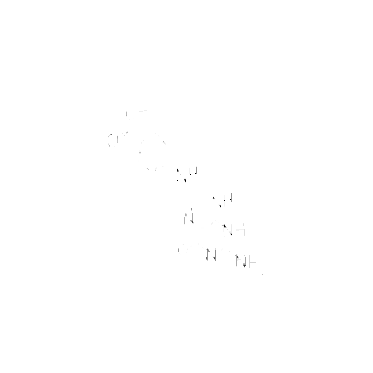 Nc1nc(=O)c2c([nH]1)NCC(CNc1ccc(C(=O)O)cc1)=N2